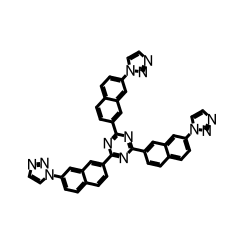 c1cn(-c2ccc3ccc(-c4nc(-c5ccc6ccc(-n7ccnn7)cc6c5)nc(-c5ccc6ccc(-n7ccnn7)cc6c5)n4)cc3c2)nn1